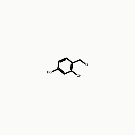 Oc1ccc(CCl)c(O)c1